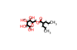 CCCC(CCC)C(=O)OCC1OC(O)C(O)C(O)C1O